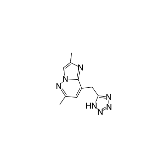 Cc1cn2nc(C)cc(Cc3nnn[nH]3)c2n1